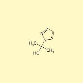 CC(C)(O)n1cccn1